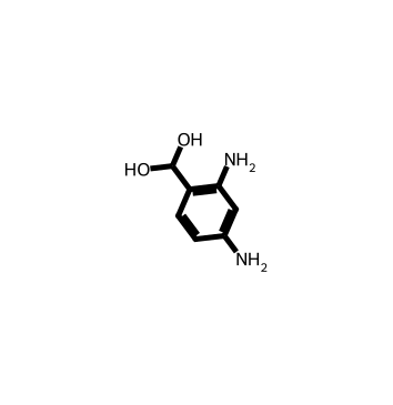 Nc1ccc(C(O)O)c(N)c1